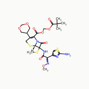 CO/N=C(\C(=O)NC1(SC)C(=O)N2C(C(=O)OCOC(=O)C(C)(C)C)=C(C3COCOC3)CS[C@H]21)c1csc(N)n1